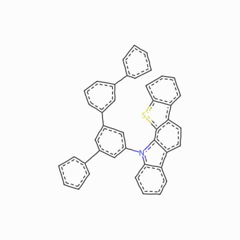 c1ccc(-c2cccc(-c3cc(-c4ccccc4)cc(-n4c5ccccc5c5ccc6c7ccccc7sc6c54)c3)c2)cc1